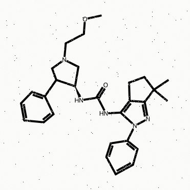 COCCN1CC(c2ccccc2)[C@H](NC(=O)Nc2c3c(nn2-c2ccccc2)C(C)(C)CC3)C1